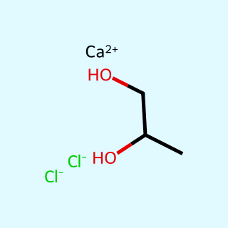 CC(O)CO.[Ca+2].[Cl-].[Cl-]